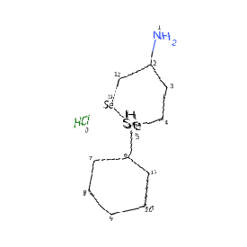 Cl.NC1CC[SeH](C2CCCCC2)[Se]C1